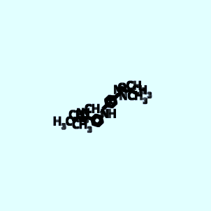 Cn1nc(C(C)(C)C)cc1-c1cccc(NCC23CCC(c4noc(C(C)(C)C)n4)(CC2)CC3)c1